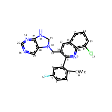 COc1ccc(F)cc1-c1nc2c(Cl)cccc2cc1CN1CNc2ncncc21